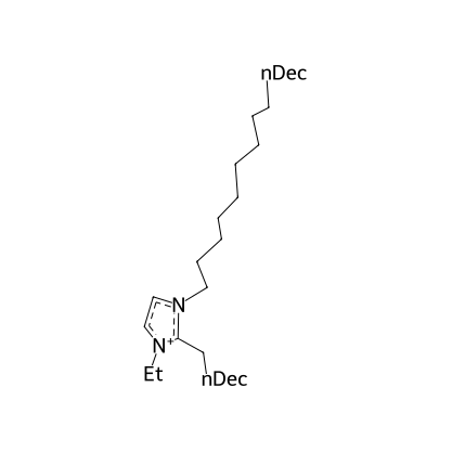 CCCCCCCCCCCCCCCCCCCn1cc[n+](CC)c1CCCCCCCCCCC